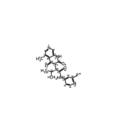 Cc1cncc2[nH]c(=O)n([C@@H](C(=O)Nc3ccnc(F)c3)C(C)C)c(=O)c12